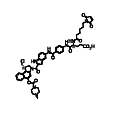 CN1CCN(C(=O)Oc2cc3c(c4ccccc24)[C@H](CCl)CN3C(=O)c2cc3cc(NC(=O)c4ccc(NC(=O)[C@H](CCC(=O)O)NC(=O)CCCCCN5C(=O)C=CC5=O)cc4)ccc3[nH]2)CC1